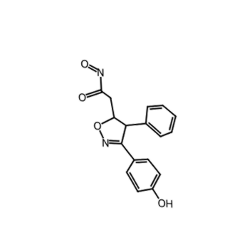 O=NC(=O)CC1ON=C(c2ccc(O)cc2)C1c1ccccc1